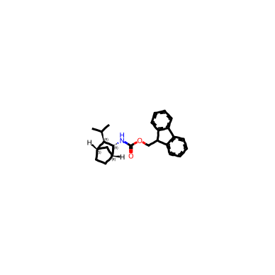 CC(C)[C@@H]1[C@H]2CC[C@H](C2)[C@H]1NC(=O)OCC1c2ccccc2-c2ccccc21